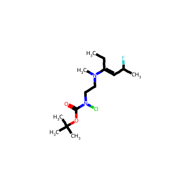 CC/C(=C\C(C)F)N(C)CCN(Cl)C(=O)OC(C)(C)C